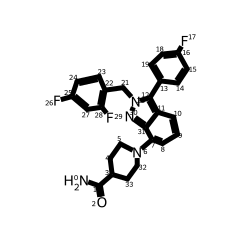 NC(=O)C1CCN(c2cccc3c(-c4ccc(F)cc4)n(Cc4ccc(F)cc4F)nc23)CC1